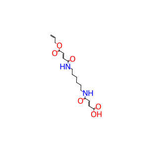 C=CCOC(=O)C=CC(=O)NCCCCCCNC(=O)C=CC(=O)O